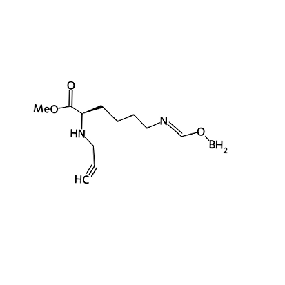 BOC=NCCCC[C@@H](NCC#C)C(=O)OC